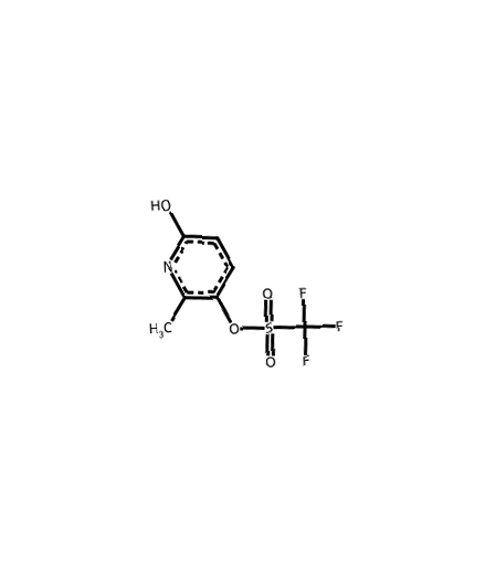 Cc1nc(O)ccc1OS(=O)(=O)C(F)(F)F